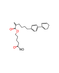 C=C(CCCCc1ccc(C2=CCCC=C2)cc1)C(=O)OCCCCC(=O)N=O